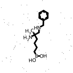 CC(N)(CCCCB(O)O)CNCc1ccccc1